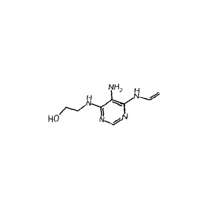 C=CNc1ncnc(NCCO)c1N